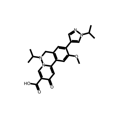 COc1cc2c(cc1-c1cnn(C(C)C)c1)CN(C(C)C)n1cc(C(=O)O)c(=O)cc1-2